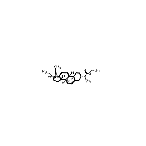 C[C@H]1[C@H]2CC[C@H]3[C@@H]4CC=C5C[C@@H](N(C)C(=O)OCC(C)(C)C)CC[C@]5(C)[C@H]4CCC23CN1C